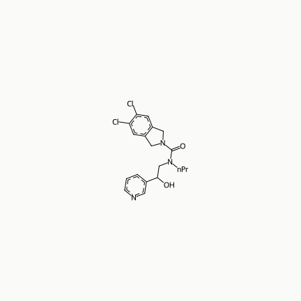 CCCN(CC(O)c1cccnc1)C(=O)N1Cc2cc(Cl)c(Cl)cc2C1